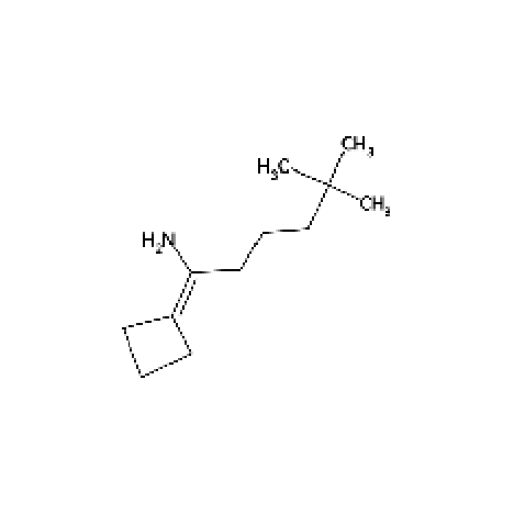 CC(C)(C)CCCC(N)=C1CCC1